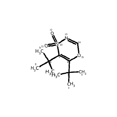 CC(C)(C)C1=C(C(C)(C)C)S(=O)(=O)N=CO1